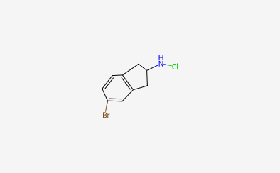 ClNC1Cc2ccc(Br)cc2C1